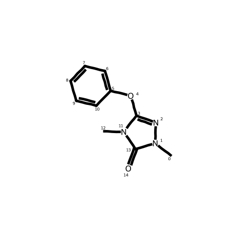 Cn1nc(Oc2ccccc2)n(C)c1=O